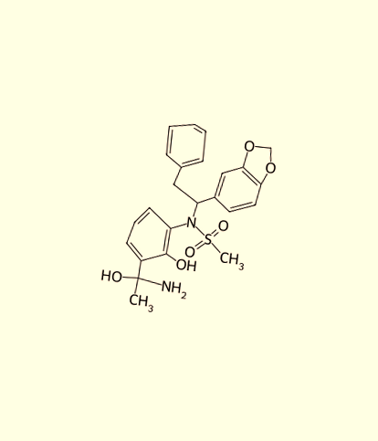 CC(N)(O)c1cccc(N(C(Cc2ccccc2)c2ccc3c(c2)OCO3)S(C)(=O)=O)c1O